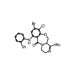 CC(C)c1ccccc1Nc1cc(Br)c(Cl)c2c1C(=O)N1CCN=C(C(C)(C)C)C1CO2